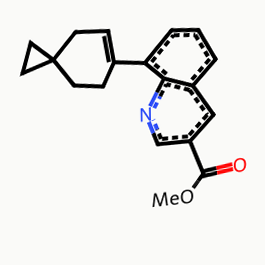 COC(=O)c1cnc2c(C3=CCC4(CC3)CC4)cccc2c1